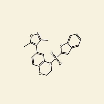 Cc1noc(C)c1-c1ccc2c(c1)N(S(=O)(=O)c1cc3ccccc3s1)CCO2